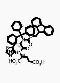 O=C(O)CC[C@H](NC(=O)[C@H](Cc1c[nH]cn1)N(C(=O)OCC1c2ccccc2-c2ccccc21)C(c1ccccc1)(c1ccccc1)c1ccccc1)C(=O)O